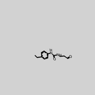 CCc1ccc(NC(=O)NCCC=O)cc1